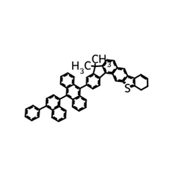 CC1(C)c2cc(-c3c4ccccc4c(-c4ccc(-c5ccccc5)c5ccccc45)c4ccccc34)ccc2-c2c1ccc1cc3c4c(sc3cc21)CCC=C4